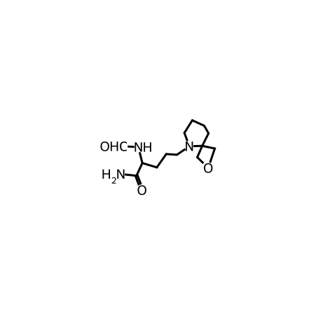 NC(=O)C(CCCN1CCCCC12COC2)NC=O